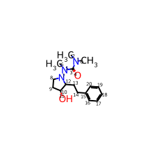 CN(C)C(=O)N(C)N1CCC(O)C1CCc1ccccc1